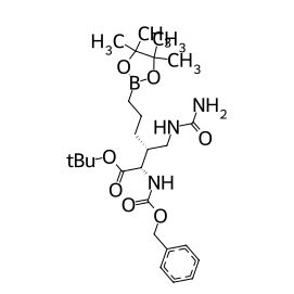 CC(C)(C)OC(=O)[C@@H](NC(=O)OCc1ccccc1)[C@H](CCCB1OC(C)(C)C(C)(C)O1)CNC(N)=O